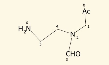 CC(=O)CN(C=O)CCN